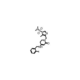 Cc1c(CN2CCC(NCc3ccccc3I)=CC2=O)ncn1S(=O)(=O)N(C)C